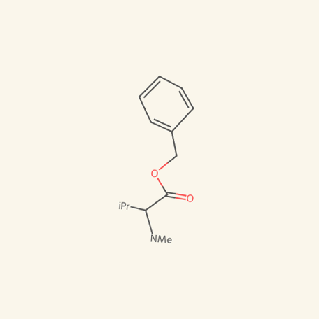 [CH2]NC(C(=O)OCc1ccccc1)C(C)C